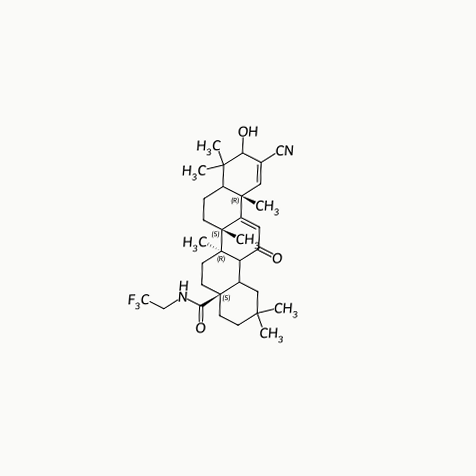 CC1(C)CC[C@]2(C(=O)NCC(F)(F)F)CC[C@]3(C)C(C(=O)C=C4[C@@]5(C)C=C(C#N)C(O)C(C)(C)C5CC[C@]43C)C2C1